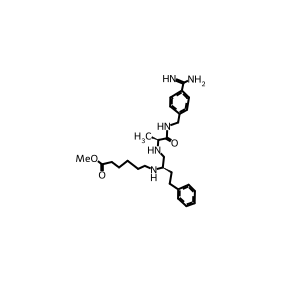 COC(=O)CCCCCN[C@H](CCc1ccccc1)CN[C@@H](C)C(=O)NCc1ccc(C(=N)N)cc1